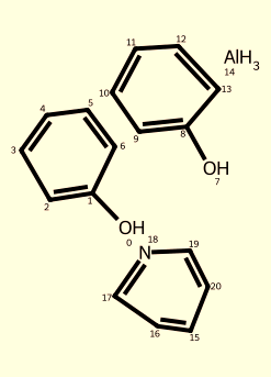 Oc1ccccc1.Oc1ccccc1.[AlH3].c1ccncc1